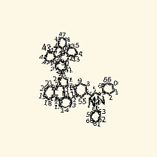 c1ccc(-c2cc(-c3cccc(-c4cccc5c6ccccc6c6cc(-c7ccc8c(c7)-c7ccccc7C87c8ccccc8-c8ccccc87)ccc6c45)c3)nc(-c3ccccc3)n2)cc1